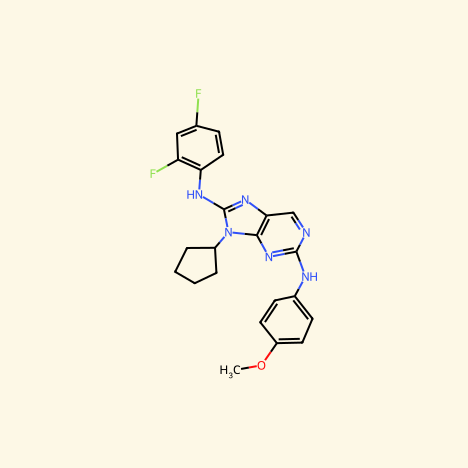 COc1ccc(Nc2ncc3nc(Nc4ccc(F)cc4F)n(C4CCCC4)c3n2)cc1